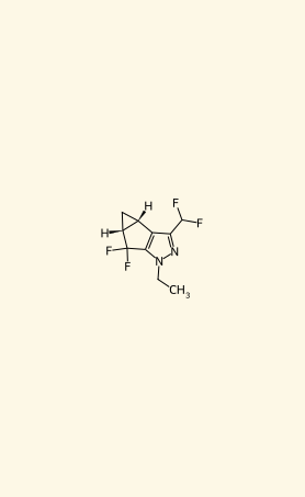 CCn1nc(C(F)F)c2c1C(F)(F)[C@@H]1C[C@H]21